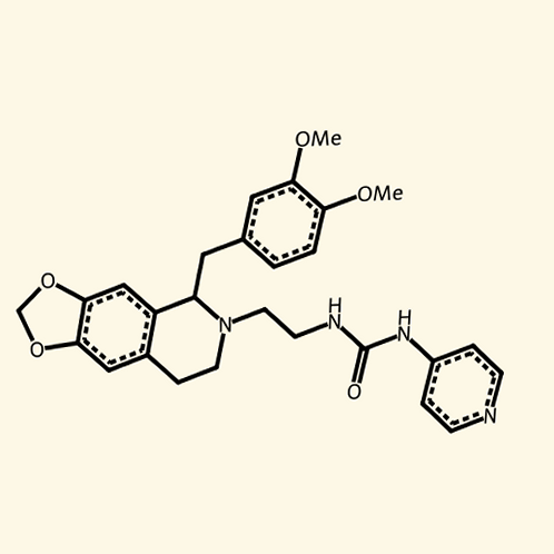 COc1ccc(CC2c3cc4c(cc3CCN2CCNC(=O)Nc2ccncc2)OCO4)cc1OC